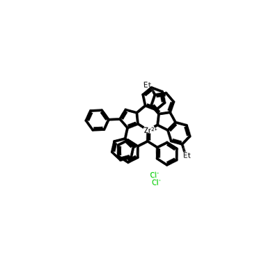 CCc1ccc2c(c1)[CH]([Zr+2]([C]1=C(c3ccccc3)C(c3ccccc3)=CC1c1ccccc1)=[C](c1ccccc1)c1ccccc1)c1cc(CC)ccc1-2.[Cl-].[Cl-]